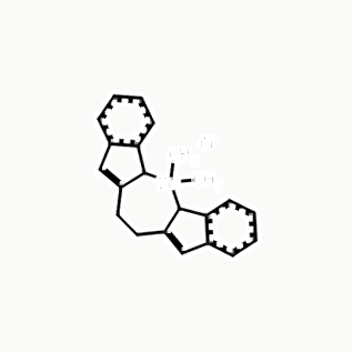 [CH3][Zr+]1([CH3])[CH]2C(=Cc3ccccc32)CCC2=Cc3ccccc3[CH]21.[Cl-]